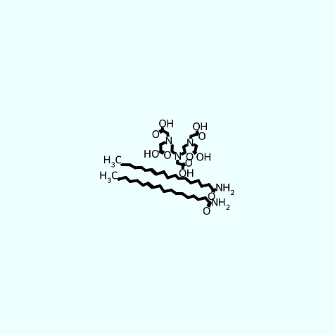 CCCCCC/C=C/CCCCCCCCCC(N)=O.CCCCCC/C=C/CCCCCCCCCC(N)=O.O=C(O)CN(CCN(CC(=O)O)CC(=O)O)CCN(CC(=O)O)CC(=O)O